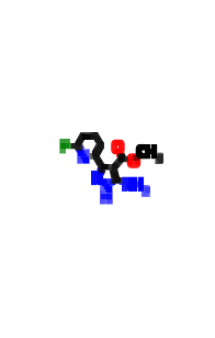 COC(=O)c1c(-c2cccc(F)n2)n[nH]c1N